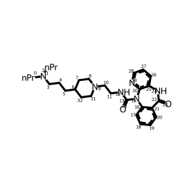 CCCN(CCC)CCCC1CCN(CCNC(=O)N2c3ccccc3C(=O)Nc3cccnc32)CC1